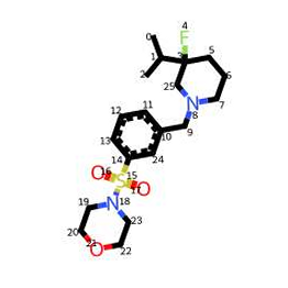 CC(C)C1(F)CCCN(Cc2cccc(S(=O)(=O)N3CCOCC3)c2)C1